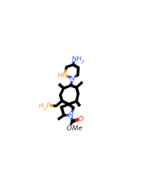 COC(=O)N1CC2(CC1C)C(C)CC(C)C(N1CCC(N)CP1)C(C)CC2CP